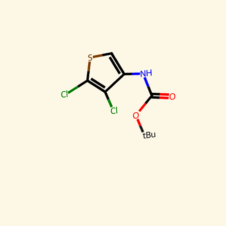 CC(C)(C)OC(=O)Nc1csc(Cl)c1Cl